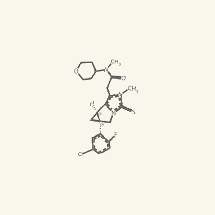 CN(C(=O)Cc1c2n(c(=S)n1C)C[C@@]1(c3cc(Cl)ccc3F)C[C@@H]21)C1CCOCC1